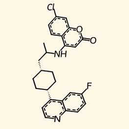 CC(C[C@H]1CC[C@@H](c2ccnc3ccc(F)cc32)CC1)Nc1cc(=O)oc2cc(Cl)ccc12